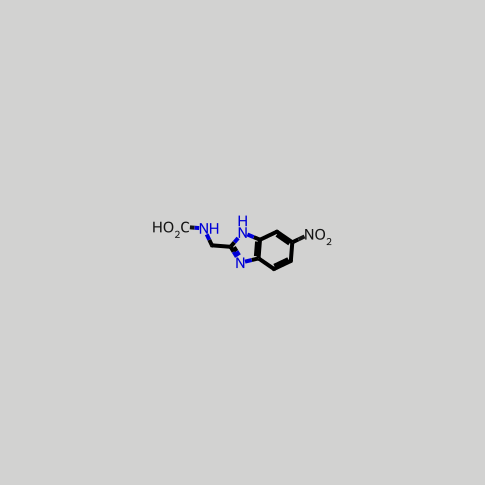 O=C(O)NCc1nc2ccc([N+](=O)[O-])cc2[nH]1